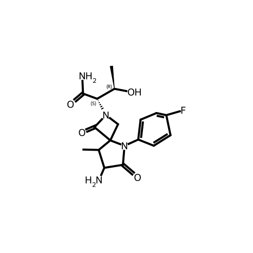 CC1C(N)C(=O)N(c2ccc(F)cc2)C12CN([C@H](C(N)=O)[C@@H](C)O)C2=O